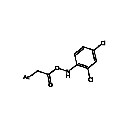 CC(=O)CC(=O)ONc1ccc(Cl)cc1Cl